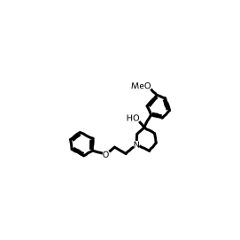 COc1cccc(C2(O)CCCN(CCOc3ccccc3)C2)c1